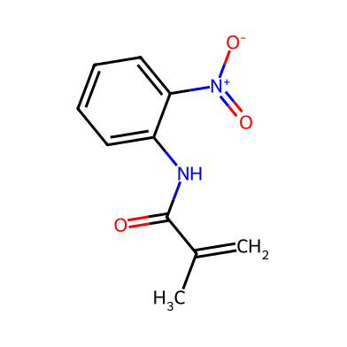 C=C(C)C(=O)Nc1ccccc1[N+](=O)[O-]